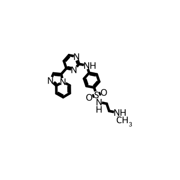 CNCCNS(=O)(=O)c1ccc(Nc2nccc(-c3cnc4ccccn34)n2)cc1